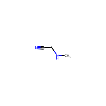 CN[CH]C#N